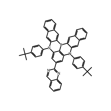 CC(C)(C)c1ccc(N2c3cc4ccccc4cc3B3c4cc5ccccc5cc4N(c4ccc(C(C)(C)C)cc4)c4cc(-c5ncc6ccccc6n5)cc2c43)cc1